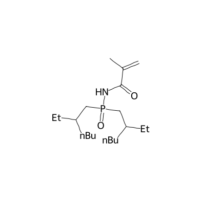 C=C(C)C(=O)NP(=O)(CC(CC)CCCC)CC(CC)CCCC